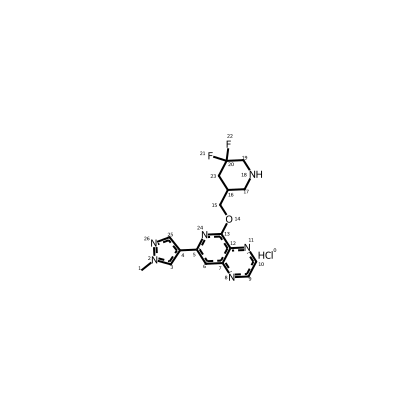 Cl.Cn1cc(-c2cc3nccnc3c(OCC3CNCC(F)(F)C3)n2)cn1